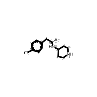 CC(=O)[C@@H](Cc1ccc(Cl)cc1)NC1CCNCC1